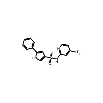 O=S(=O)(Nc1cc(C(F)(F)F)ccn1)c1c[nH]c(-c2ccccc2)c1